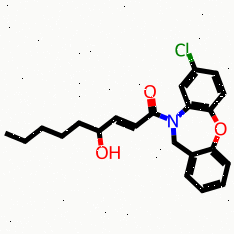 CCCCCC(O)/C=C/C(=O)N1Cc2ccccc2Oc2ccc(Cl)cc21